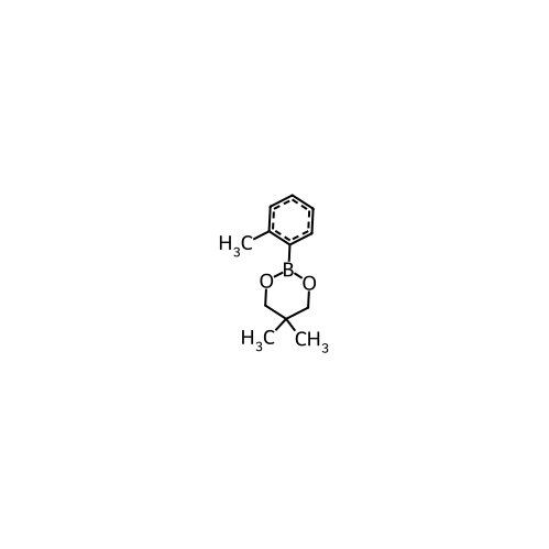 Cc1ccccc1B1OCC(C)(C)CO1